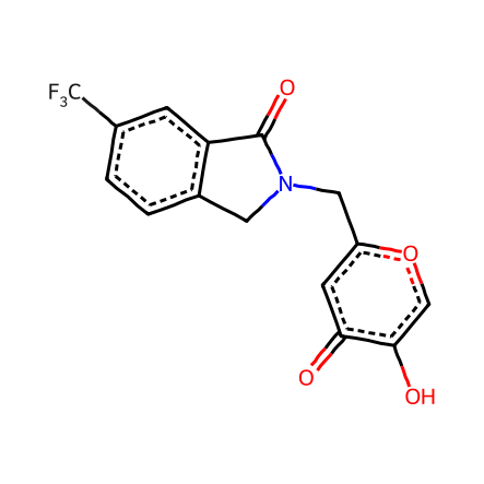 O=C1c2cc(C(F)(F)F)ccc2CN1Cc1cc(=O)c(O)co1